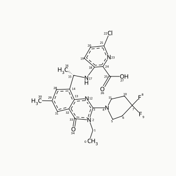 CCn1c(N2CCC(F)(F)CC2)nc2c([C@H](C)Nc3ccc(Cl)nc3C(=O)O)cc(C)cc2c1=O